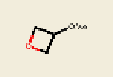 [CH2]OC1COC1